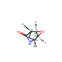 O=C1N[C@@H]2C[C@H]1[C@H]1O[C@H]12